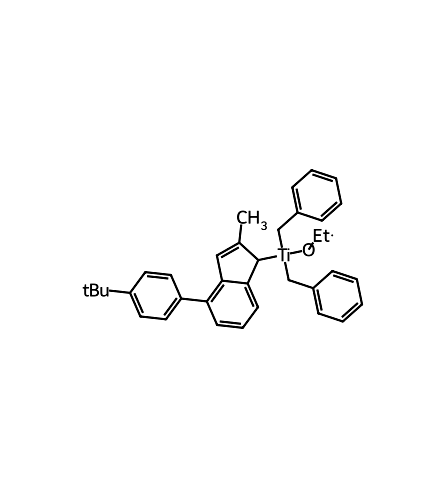 C[CH][O][Ti]([CH2]c1ccccc1)([CH2]c1ccccc1)[CH]1C(C)=Cc2c(-c3ccc(C(C)(C)C)cc3)cccc21